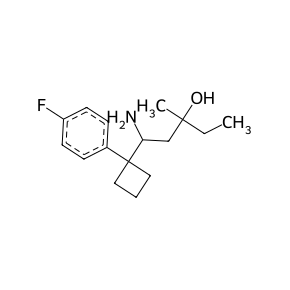 CCC(C)(O)CC(N)C1(c2ccc(F)cc2)CCC1